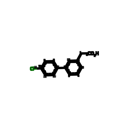 O=C(O)Cc1cccc(-c2ccc(Cl)cc2)c1